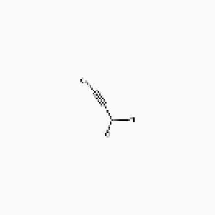 ClC#CC(Cl)Cl